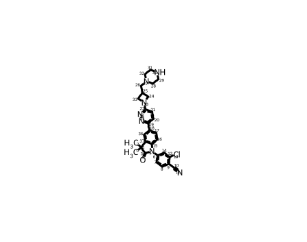 CC1(C)C(=O)N(c2ccc(C#N)c(Cl)c2)c2ccc(-c3ccc(N4CC(CN5CCNCC5)C4)nn3)cc21